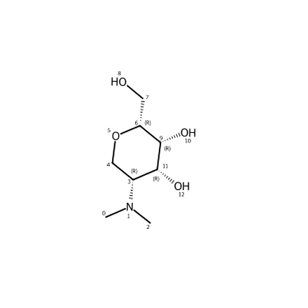 CN(C)[C@@H]1CO[C@H](CO)[C@H](O)[C@@H]1O